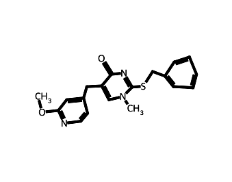 COc1cc(Cc2cn(C)c(SCc3ccccc3)nc2=O)ccn1